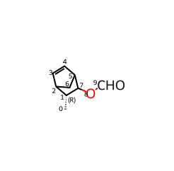 C[C@@H]1C2C=CC(C2)C1OC=O